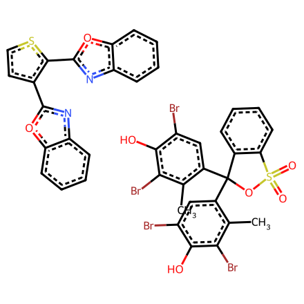 Cc1c(C2(c3cc(Br)c(O)c(Br)c3C)OS(=O)(=O)c3ccccc32)cc(Br)c(O)c1Br.c1ccc2oc(-c3ccsc3-c3nc4ccccc4o3)nc2c1